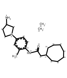 Cc1cc(N2CCC(N)C2)ccc1NC(=O)C[C]1CCCCCCC1.[CH2].[CH2]